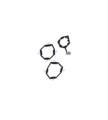 C1=C\C=C/C=C\C=C/1.C1=C\C=C/C=C\C=C/1.[Nb][c]1ccccc1